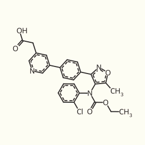 CCOC(=O)N(c1ccccc1Cl)c1c(-c2ccc(-c3cncc(CC(=O)O)c3)cc2)noc1C